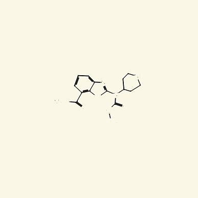 COC(=O)c1cccc2nc(N(C(=O)OC(C)(C)C)C3CCNCC3)oc12